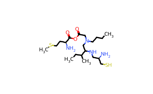 CCCCN(CC(=O)OC(=O)[C@@H](N)CCSC)CC(NC[C@@H](N)CS)C(C)CC